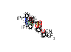 CC(C)c1cccc(C(C)C)c1-n1ccn(-c2c(C(C)C)cccc2C(C)C)[c]1=[Au]([Br])([C](F)(F)F)[C](F)(F)CCCS(=O)(=O)Oc1cccc(Oc2cccc(C(F)(F)F)c2C#N)c1